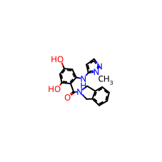 Cn1nccc1Nc1cc(O)cc(O)c1C(=O)N1Cc2ccccc2C1